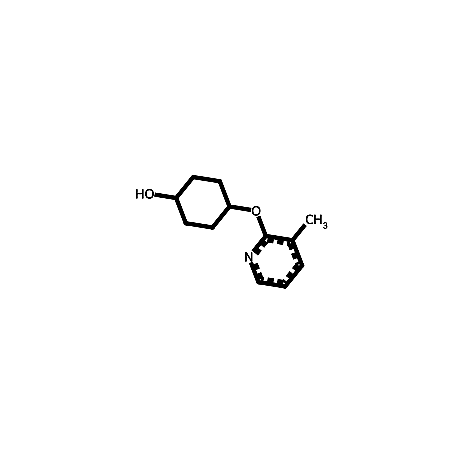 Cc1cccnc1OC1CCC(O)CC1